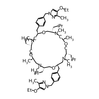 CCOc1cn(Cc2ccc(C[C@@H]3CN(C)[C@@H](CC(C)C)CO[C@H](C)CN(C)[C@@H](CC(C)C)CO[C@H](Cc4ccc(Cn5cc(OCC)c(C)n5)cc4)CN(C)[C@@H](CC(C)C)CO[C@H](C)CN(C)[C@@H](CC(C)C)CO3)cc2)nc1C